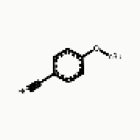 C#Cc1ccc(OCCCC)cc1